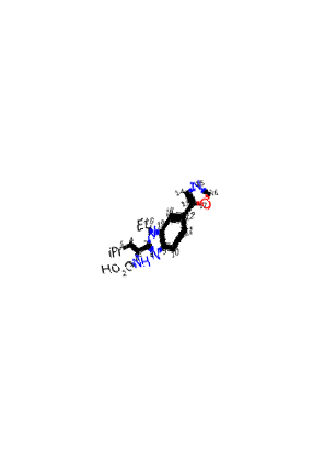 CCn1c(C(CC(C)C)NC(=O)O)nc2ccc(-c3cnco3)cc21